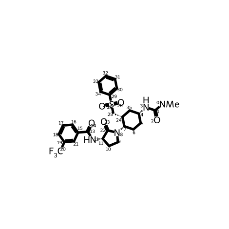 CNC(=O)N[C@@H]1CC[C@H](N2CC[C@H](NC(=O)c3cccc(C(F)(F)F)c3)C2=O)[C@H](CS(=O)(=O)c2ccccc2)C1